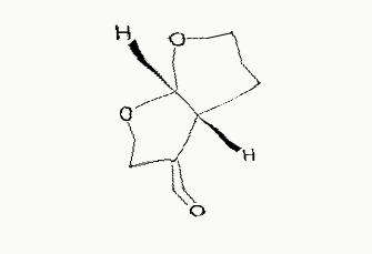 O=C1CO[C@@H]2OCC[C@H]12